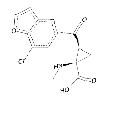 CN[C@]1(C(=O)O)C[C@@H]1C(=O)c1cc(Cl)c2occc2c1